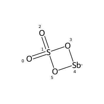 O=S1(=O)[O][Sb][O]1